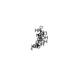 O=P(O)(O)C(COCC1CC1)OC[C@H]1O[C@@H](n2ncc3c(NC4CCCC4)nc(Cl)nc32)[C@H](O)[C@@H]1O